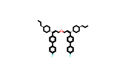 CCC[C@H]1CC[C@H](C(=CCOCC=C(c2ccc(-c3ccc(F)cc3)cc2)[C@H]2CC[C@H](CCC)CC2)c2ccc(-c3ccc(F)cc3)cc2)CC1